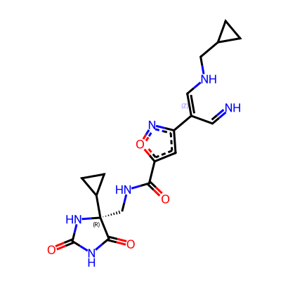 N=C/C(=C\NCC1CC1)c1cc(C(=O)NC[C@@]2(C3CC3)NC(=O)NC2=O)on1